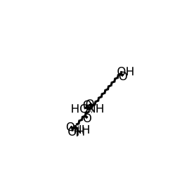 O=C(O)CCCCCCCCCCCCCCCCC(=O)N[C@@H](CCC(=O)CCCCC[C@H](NI)C(=O)O)C(=O)O